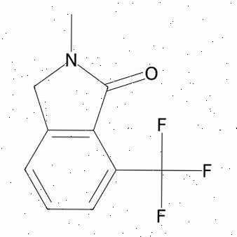 CN1Cc2cccc(C(F)(F)F)c2C1=O